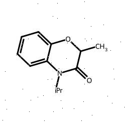 CC1Oc2ccccc2N(C(C)C)C1=O